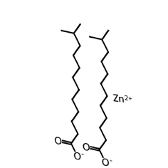 CC(C)CCCCCCCCCC(=O)[O-].CC(C)CCCCCCCCCC(=O)[O-].[Zn+2]